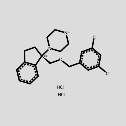 Cl.Cl.Clc1cc(Cl)cc(COC[C@]2(N3CCNCC3)CCc3ccccc32)c1